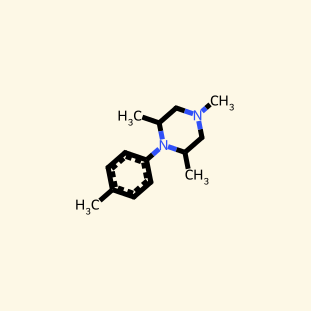 Cc1ccc(N2C(C)CN(C)CC2C)cc1